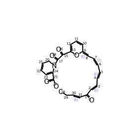 O=C1/C=C/C=C/C=C\C=C2/C=CC=C(O2)C(=O)C(=O)N2CC=CC=C2C(=O)OCC/C=C/1